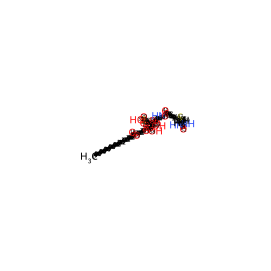 CCCCCCCCCCCCCCCCCC(=O)OCCCOC1OC(CS(=O)(=O)O)C(OC(=O)CCNOC(=O)CCCC[C@@H]2SC[C@@H]3NC(=O)N[C@@H]32)C(O)C1O